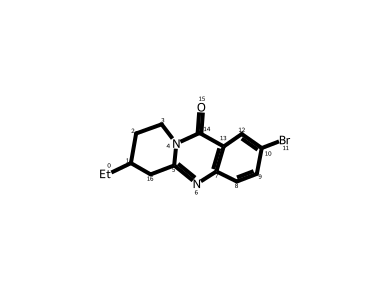 CCC1CCn2c(nc3ccc(Br)cc3c2=O)C1